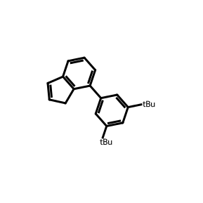 CC(C)(C)c1cc(-c2cccc3c2CC=C3)cc(C(C)(C)C)c1